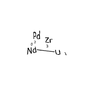 [Nd][U].[Pd].[Zr]